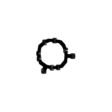 O=C1CCCCCCCCCCC(=O)CCCC1